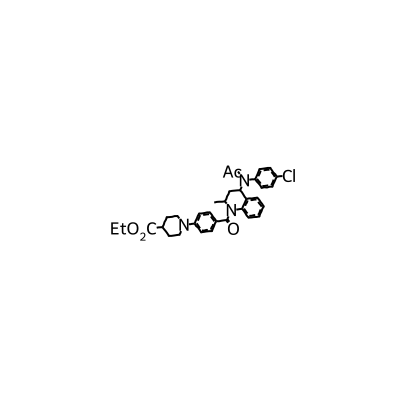 CCOC(=O)C1CCN(c2ccc(C(=O)N3c4ccccc4C(N(C(C)=O)c4ccc(Cl)cc4)CC3C)cc2)CC1